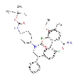 CCCCOC(=O)N(CC(c1ccccc1)c1ccc(Cl)c(-c2c(C(N)=O)ccc(OC)c2F)c1)C1CCC(NC(=O)OC(C)(C)C)CC1